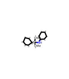 CO[Si](NC1CCCCC1)(OC)C1CCCCC1